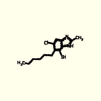 CCCCCCc1c(Cl)cc2nc(C)[nH]c2c1S